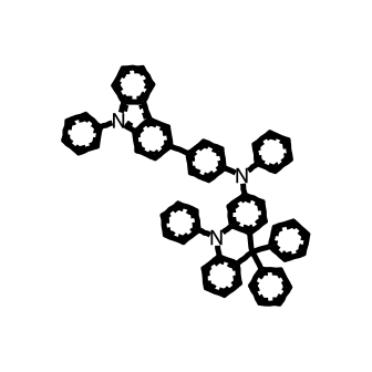 c1ccc(N(c2ccc(-c3ccc4c(c3)c3ccccc3n4-c3ccccc3)cc2)c2ccc3c(c2)N(c2ccccc2)c2ccccc2C3(c2ccccc2)c2ccccc2)cc1